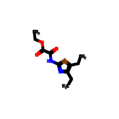 CCOC(=O)C(=O)Nc1nc(CC)c(CC)s1